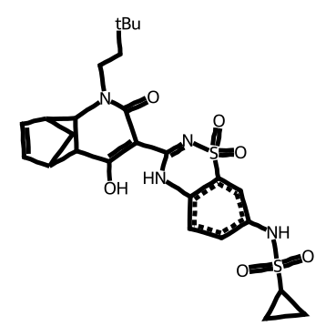 CC(C)(C)CCN1C(=O)C(C2=NS(=O)(=O)c3cc(NS(=O)(=O)C4CC4)ccc3N2)=C(O)C2C3C=CC(C3)C21